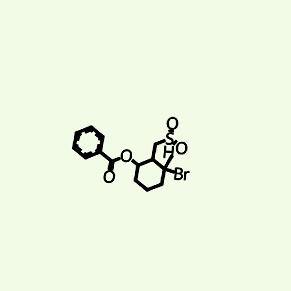 CC1(Br)CCCC(OC(=O)c2ccccc2)C1C[SH](=O)=O